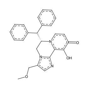 COCc1cnc2n1C[C@H](C(c1ccccc1)c1ccccc1)n1ccc(=O)c(O)c1-2